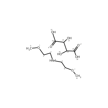 COCCNCCOC.O=C(O)C(O)C(O)C(=O)O